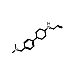 C=CCNC1CCC(c2ccc(CN(C)C)cc2)CC1